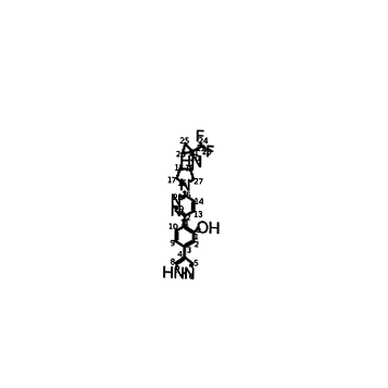 Oc1cc(-c2cn[nH]c2)ccc1-c1ccc(N2CCC(NC3(C(F)F)CC3)C2)nn1